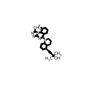 Cc1nnc2nc(N3CCCc4c(C#CC(C)(C)O)cccc43)c3cccc(F)c3n12